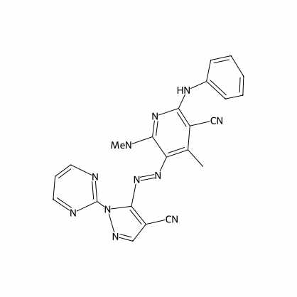 CNc1nc(Nc2ccccc2)c(C#N)c(C)c1N=Nc1c(C#N)cnn1-c1ncccn1